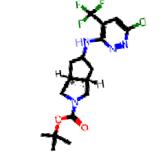 CC(C)(C)OC(=O)N1C[C@H]2CC(Nc3nnc(Cl)cc3C(F)(F)F)C[C@H]2C1